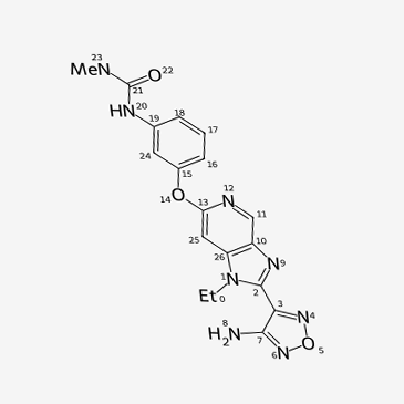 CCn1c(-c2nonc2N)nc2cnc(Oc3cccc(NC(=O)NC)c3)cc21